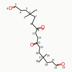 CC(C)(CCC=O)CCC(=O)CCC(=O)CCC(C)(C)CCC=O